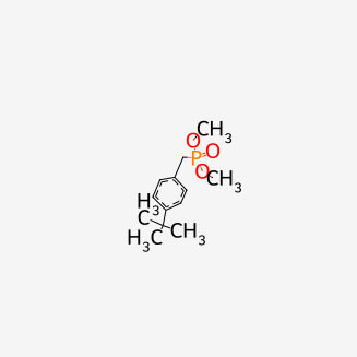 COP(=O)(Cc1ccc(C(C)(C)C)cc1)OC